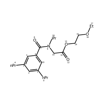 CCCc1cc(CCC)cc(C(=O)N(CC(=O)OCCOCC)C(C)C)c1